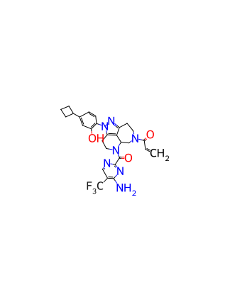 C=CC(=O)N1CCc2nn(-c3ccc(C4CCC4)cc3O)c3c2C(C1)N(C(=O)c1ncc(C(F)(F)F)c(N)n1)CC3